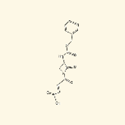 O=C(O)C=CC(=O)N1CC(NC(=O)OCc2ccccc2)C1=O